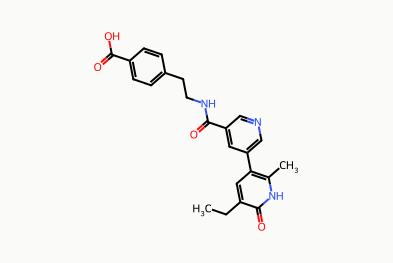 CCc1cc(-c2cncc(C(=O)NCCc3ccc(C(=O)O)cc3)c2)c(C)[nH]c1=O